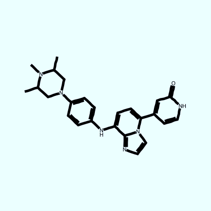 CC1CN(c2ccc(Nc3ccc(-c4cc[nH]c(=O)c4)n4ccnc34)cc2)CC(C)N1C